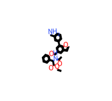 CCOC(=O)C(NC(C)=O)c1ccccc1OCc1cc(-c2cccc(CN)c2)c2occc2c1